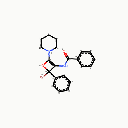 O=C(NC1=C(N2CCCCC2)OC1(Br)c1ccccc1)c1ccccc1